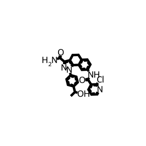 CC(O)c1ccc(-n2nc(C(N)=O)c3c2-c2cc(NC(=O)c4cccnc4Cl)ccc2CC3)cc1